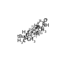 CC(C)(C)[Si](C)(C)O[C@H]1CC[C@H]2[C@@H]3CC=C4NC(=O)CC[C@]4(C)[C@H]3CC[C@]12C